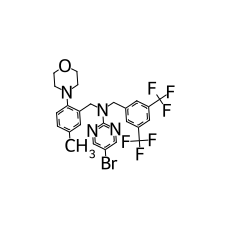 Cc1ccc(N2CCOCC2)c(CN(Cc2cc(C(F)(F)F)cc(C(F)(F)F)c2)c2ncc(Br)cn2)c1